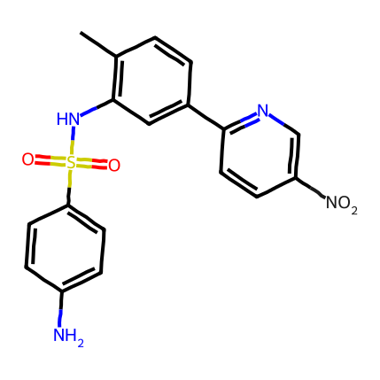 Cc1ccc(-c2ccc([N+](=O)[O-])cn2)cc1NS(=O)(=O)c1ccc(N)cc1